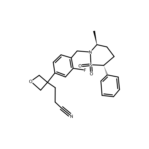 C[C@H]1CC[C@H](c2ccccc2)S(=O)(=O)N1Cc1ccc(C2(CCC#N)COC2)cc1F